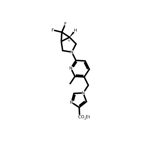 CCOC(=O)c1cn(Cc2ccc(N3CC4[C@@H](C3)C4(F)F)nc2C)cn1